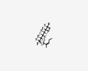 CCC=C(C)C(=O)OC(F)(C(F)(F)F)C(F)(F)C(F)(F)C(F)(F)C(F)(F)F